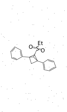 CCS(=O)(=O)C1C2(c3ccccc3)CC1(c1ccccc1)C2